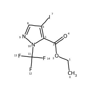 CCOC(=O)c1c(I)cnn1C(F)(F)F